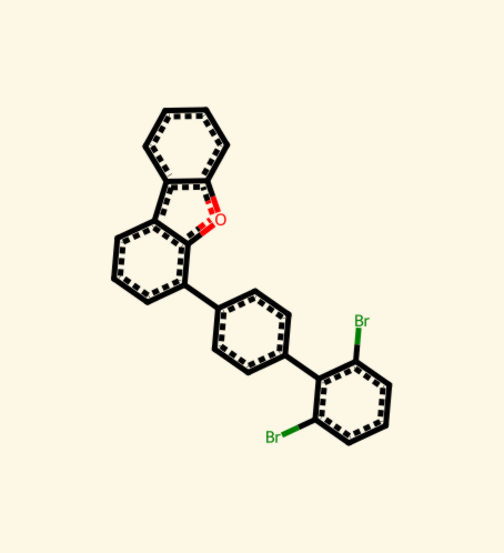 Brc1cccc(Br)c1-c1ccc(-c2cccc3c2oc2ccccc23)cc1